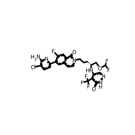 Nc1nc(-c2cc3ccn(CCC[C@H](COC(F)F)Nc4cn[nH]c(=O)c4C(F)(F)F)c(=O)c3cc2F)ccc1Cl